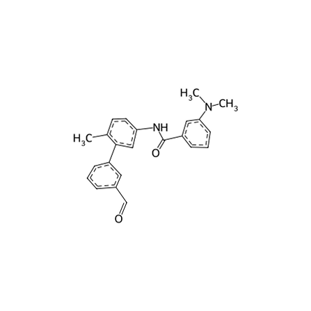 Cc1ccc(NC(=O)c2cccc(N(C)C)c2)cc1-c1cccc(C=O)c1